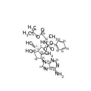 C#C[C@]1(COP(=O)(N[C@@H](C)C(=O)OC(C)C)Oc2ccccc2)C(=C)[C@@H](n2cnc3c(N)ncnc32)C[C@@H]1O